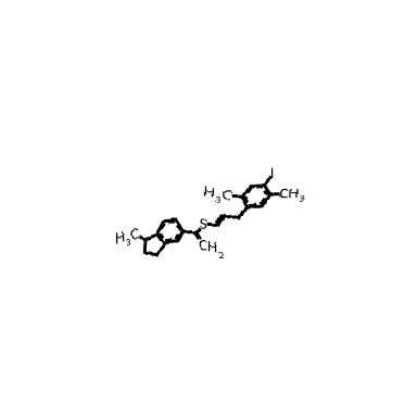 C=C(S/C=C/Cc1cc(C)c(I)cc1C)c1ccc2c(c1)CCC2C